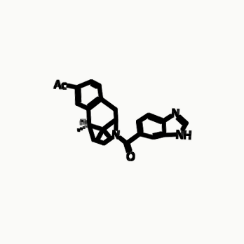 CC(=O)c1ccc2c(c1)[C@]1(C)CCN(C(=O)c3ccc4nc[nH]c4c3)C(C2)C1(C)C